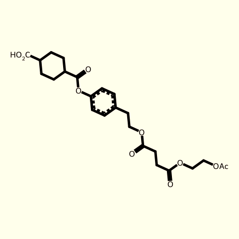 CC(=O)OCCOC(=O)CCC(=O)OCCc1ccc(OC(=O)C2CCC(C(=O)O)CC2)cc1